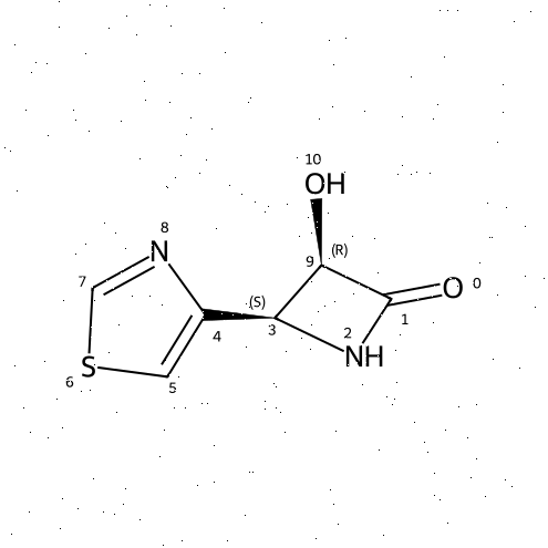 O=C1N[C@@H](c2cscn2)[C@H]1O